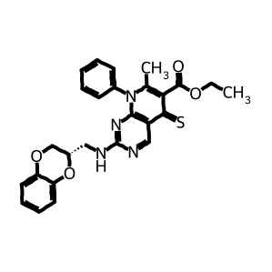 CCOC(=O)c1c(C)n(-c2ccccc2)c2nc(NC[C@H]3COc4ccccc4O3)ncc2c1=S